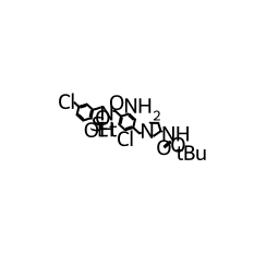 CCS(=O)(=O)c1ccc(Cl)cc1CNC(=O)c1cc(Cl)c(CN2CC[C@@H](NC(=O)OC(C)(C)C)C2)cc1N